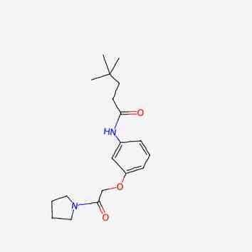 CC(C)(C)CCC(=O)Nc1cccc(OCC(=O)N2CCCC2)c1